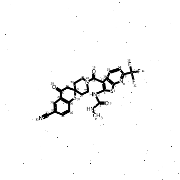 CNC(=O)Nc1sc2nc(C(F)(F)F)ccc2c1C(=O)N1CCC2(CC1)CC(=O)c1cc(C#N)ccc1S2